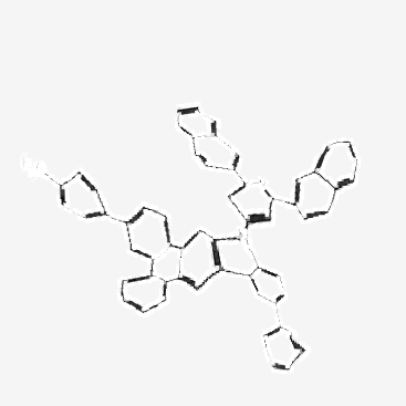 FC(F)(F)c1ccc(-c2ccc3c(c2)c2ccccc2c2cc4c5cc(-c6ccccc6)ccc5n(-c5cc(-c6ccc7ccccc7c6)nc(-c6ccc7ccccc7c6)c5)c4cc32)cc1